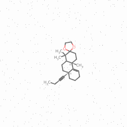 CCC#C[C@]12CCCC=C1[C@@]1(C)CCC3(OCCO3)C(C)(C)C1CC2